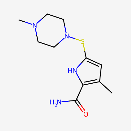 Cc1cc(SN2CCN(C)CC2)[nH]c1C(N)=O